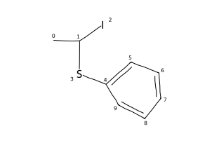 CC(I)Sc1ccccc1